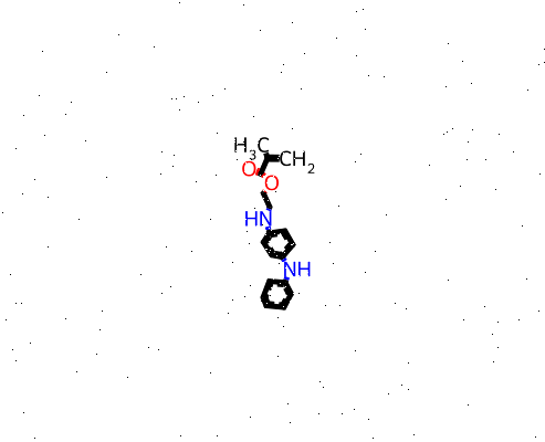 C=C(C)C(=O)OCCNc1ccc(Nc2ccccc2)cc1